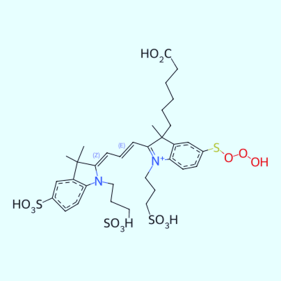 CC1(CCCCCC(=O)O)C(/C=C/C=C2\N(CCCS(=O)(=O)O)c3ccc(S(=O)(=O)O)cc3C2(C)C)=[N+](CCCS(=O)(=O)O)c2ccc(SOOO)cc21